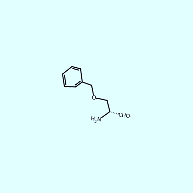 N[C@@H]([C]=O)COCc1ccccc1